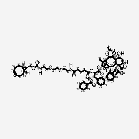 CC(=O)O[C@H]1C(=O)[C@@]2(C)C([C@H](C(=O)c3ccccc3)[C@]3(O)C[C@H](OC(=O)[C@H](OC(=O)CCCC(=O)NCCOCCOCCNC(=O)OC[C@@H]4[C@@H]5CCC#CCC[C@@H]54)[C@@H](NC(=O)c4ccccc4)c4ccccc4)C(C)=C1C3(C)C)[C@]1(OC(C)=O)CO[C@@H]1C[C@@H]2O